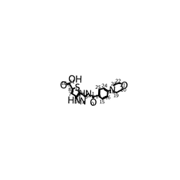 O=C(Nc1n[nH]c2cc(C(=O)O)sc12)c1ccc(N2CCOCC2)cc1